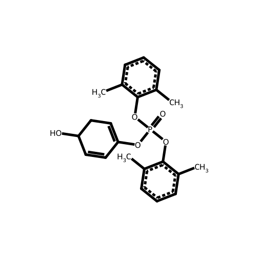 Cc1cccc(C)c1OP(=O)(OC1=CCC(O)C=C1)Oc1c(C)cccc1C